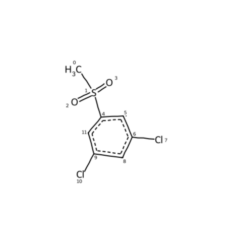 CS(=O)(=O)c1[c]c(Cl)cc(Cl)c1